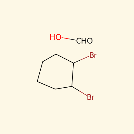 BrC1CCCCC1Br.O=CO